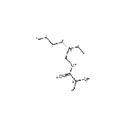 CCCC[C@H](CC)COC(=O)C(C)O